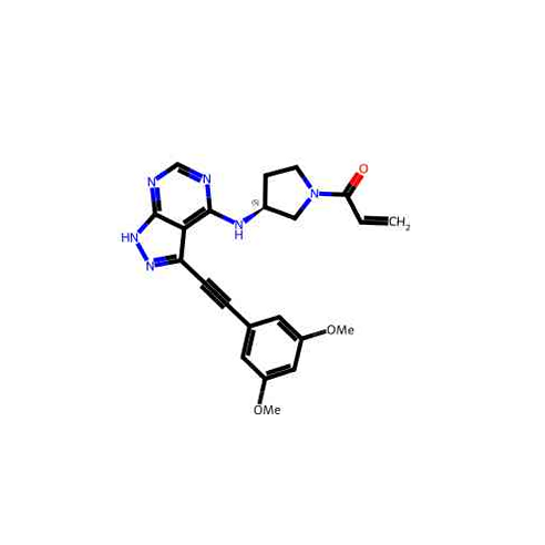 C=CC(=O)N1CC[C@H](Nc2ncnc3[nH]nc(C#Cc4cc(OC)cc(OC)c4)c23)C1